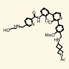 COc1cc(-c2nccc(-c3cccc(NC(=O)c4ccc(CNCCO)cn4)c3Cl)c2Cl)ccc1CNC1CC2(C1)CN(C(C)=O)C2